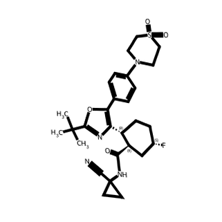 CC(C)(C)c1nc([C@@H]2CC[C@H](F)C[C@H]2C(=O)NC2(C#N)CC2)c(-c2ccc(N3CCS(=O)(=O)CC3)cc2)o1